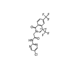 O=C(CN1C[C@]2(CC2(F)F)c2cc(C(F)(F)F)ccc2C1=O)Nc1ncc(Cl)cn1